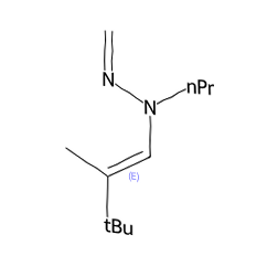 C=NN(/C=C(\C)C(C)(C)C)CCC